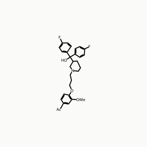 COc1cc(C(C)=O)ccc1OCCCN1CCCC(C(O)(c2ccc(F)cc2)c2ccc(F)cc2)C1